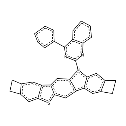 c1ccc(-c2nc(-n3c4cc5c(cc4c4cc6sc7cc8c(cc7c6cc43)CC8)CC5)nc3ccccc23)cc1